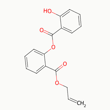 C=CCOC(=O)c1ccccc1OC(=O)c1ccccc1O